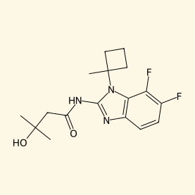 CC(C)(O)CC(=O)Nc1nc2ccc(F)c(F)c2n1C1(C)CCC1